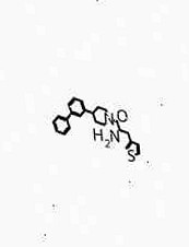 NC(Cc1ccsc1)C(=O)N1CCC(c2cccc(-c3ccccc3)c2)CC1